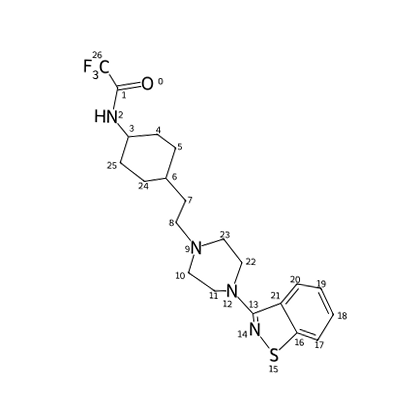 O=C(NC1CCC(CCN2CCN(c3nsc4ccccc34)CC2)CC1)C(F)(F)F